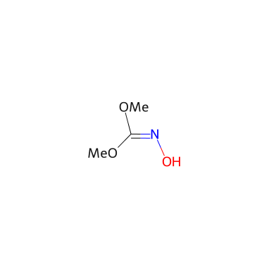 COC(=NO)OC